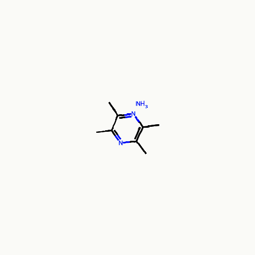 Cc1nc(C)c(C)nc1C.N